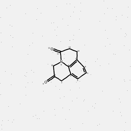 O=C1Cc2cccc3c2N(C1)C(=O)CC3